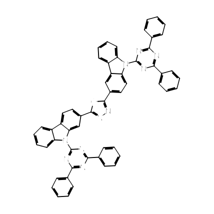 c1ccc(-c2nc(-c3ccccc3)nc(-n3c4ccccc4c4cc(-c5nnc(-c6ccc7c8ccccc8n(-c8nc(-c9ccccc9)nc(-c9ccccc9)n8)c7c6)o5)ccc43)n2)cc1